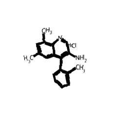 Cc1cc(C)c2ncc(N)c(-c3ccccc3C)c2c1.Cl